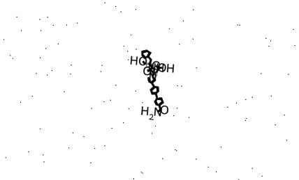 NC(=O)c1ccc(-c2ccc(-c3ccn([C@H](CC(=O)O)C(=O)N[C@H](CO)Cc4ccccc4)c3)cc2)cc1